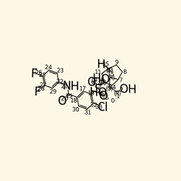 C[C@@H](O)[C@H](O)[C@@]1(O)C2CC[C@H]1C[C@H](S(=O)(=O)c1cc(C(=O)Nc3ccc(F)c(F)c3)ccc1Cl)C2